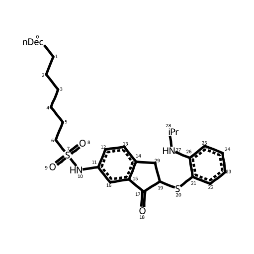 CCCCCCCCCCCCCCCCS(=O)(=O)Nc1ccc2c(c1)C(=O)C(Sc1ccccc1NC(C)C)C2